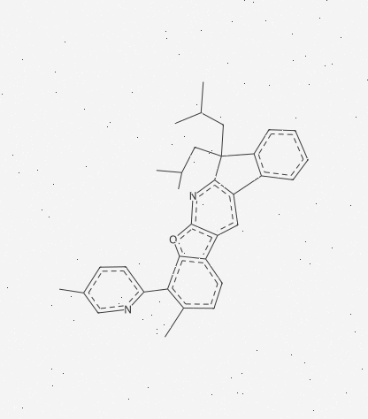 Cc1ccc(-c2c(C)ccc3c2oc2nc4c(cc23)-c2ccccc2C4(CC(C)C)CC(C)C)nc1